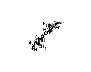 COC(=O)N[C@H](C(=O)N1C[C@@H](C(F)(F)F)C[C@H]1c1nc(Cl)c(-c2ccc(-c3ccc(-c4[nH]c([C@@H]5C[C@H](C)CN5C(=O)[C@@H](COOC=N)C(C)C)nc4Cl)cc3)cc2)[nH]1)C(C)C